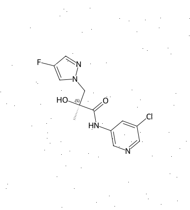 C[C@](O)(Cn1cc(F)cn1)C(=O)Nc1cncc(Cl)c1